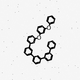 c1ccc(Oc2cccc(Oc3cccc(-c4cccc(-c5cccc(-c6cccc(-c7ccccc7)c6)c5)c4)c3)c2)cc1